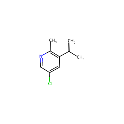 C=C(C)c1cc(Cl)cnc1C